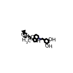 CC(CN1CCOC2(CC2)C1)[C@H]1CC[C@H]2/C(=C/C=C3C[C@@H](O)C[C@H](O)C3)CCC[C@]12C